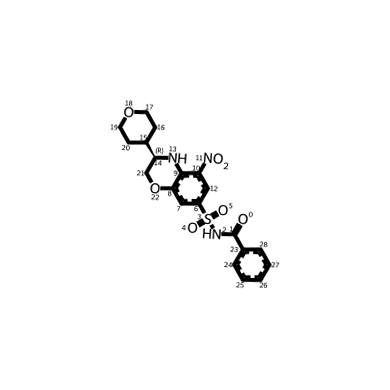 O=C(NS(=O)(=O)c1cc2c(c([N+](=O)[O-])c1)N[C@H](C1CCOCC1)CO2)c1ccccc1